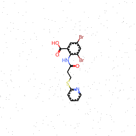 O=C(CCSc1ccccn1)Nc1c(Br)cc(Br)cc1C(=O)O